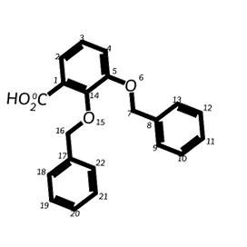 O=C(O)c1cccc(OCc2ccccc2)c1OCc1ccccc1